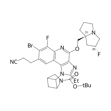 CCc1nc2c(OC[C@@]34CCCN3C[C@H](F)C4)nc3c(F)c(Br)c(CCC#N)cc3c2n1C1C2CC1N(C(=O)OC(C)(C)C)C2